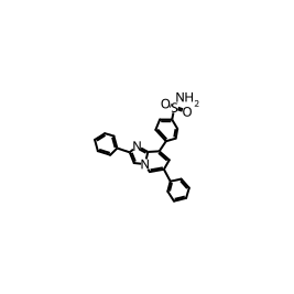 NS(=O)(=O)c1ccc(-c2cc(-c3ccccc3)cn3cc(-c4ccccc4)nc23)cc1